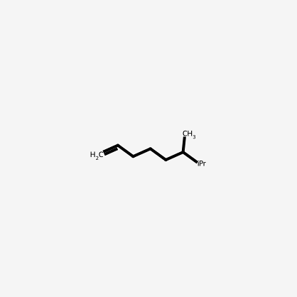 [CH2]C(C)C(C)CCCC=C